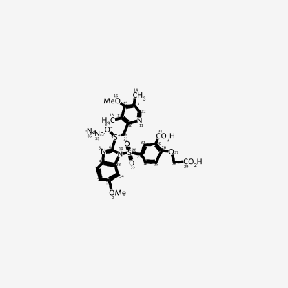 COc1ccc2nc([S+]([O-])Cc3ncc(C)c(OC)c3C)n(S(=O)(=O)c3ccc(OCC(=O)O)c(C(=O)O)c3)c2c1.[Na].[Na]